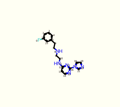 Fc1cccc(CCNCCNc2ccnc(-n3ccnc3)n2)c1